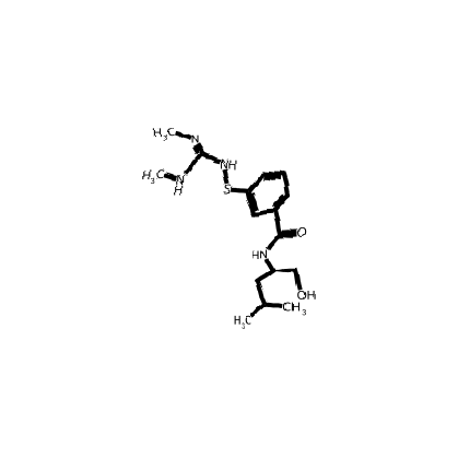 C/N=C(\NC)NSc1cccc(C(=O)N[C@@H](CO)CC(C)C)c1